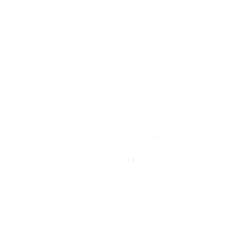 O=C(O)c1ccc(O)c(F)c1F